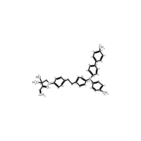 C=CC(=O)C(C)(O)COc1ccc(CCc2ccc(N(c3ccc(C)cc3)c3ccc(-c4ccc(C)cc4)cc3)cc2)cc1